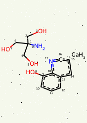 NC(CO)(CO)CO.Oc1cccc2cccnc12.[GaH3]